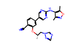 Cc1noc(C)c1Nc1ncc(-c2ccc(C#N)c(O[C@@H](C)Cn3cncn3)c2)cn1